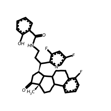 C[C@]12CCC3c4cccc(F)c4CCC3C1[C@H](C(CCNC(=O)c1ccccc1O)c1ncc(F)cc1F)CC2=O